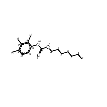 CCCCCCCOC(=O)Oc1ccc(C)c(C)c1C